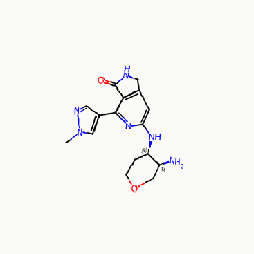 Cn1cc(-c2nc(N[C@@H]3CCOC[C@@H]3N)cc3c2C(=O)NC3)cn1